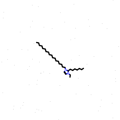 CCCCCCCCCCCCCCCCCCN1C=CN(CC)C1CCCCCCC